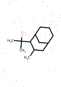 BC(C)(C)C1C(C)CC2CCCC1C2